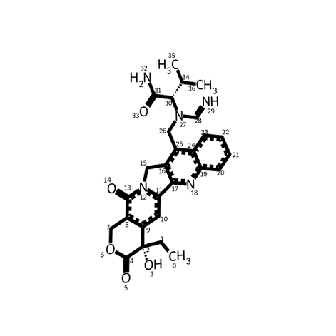 CC[C@@]1(O)C(=O)OCc2c1cc1n(c2=O)Cc2c-1nc1ccccc1c2CN(C=N)[C@H](C(N)=O)C(C)C